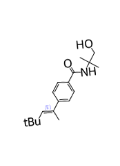 C/C(=C\C(C)(C)C)c1ccc(C(=O)NC(C)(C)CO)cc1